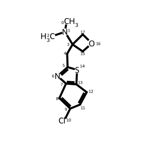 CN(C)C1(Cc2nc3cc(Cl)ccc3s2)COC1